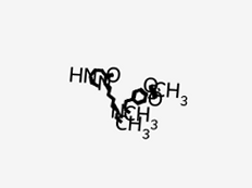 CCN(CCCCN1CCNCCC1=O)C(C)Cc1ccc(S(C)(=O)=O)cc1